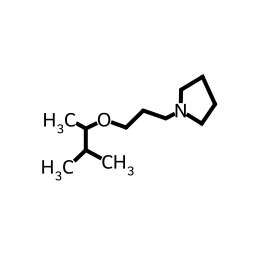 CC(C)C(C)OCCCN1CCCC1